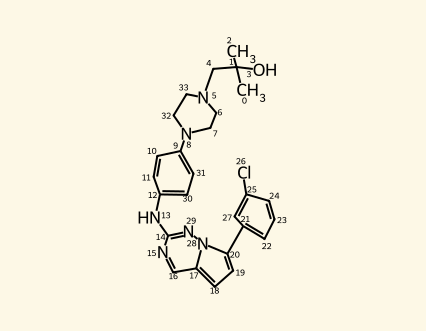 CC(C)(O)CN1CCN(c2ccc(Nc3ncc4ccc(-c5cccc(Cl)c5)n4n3)cc2)CC1